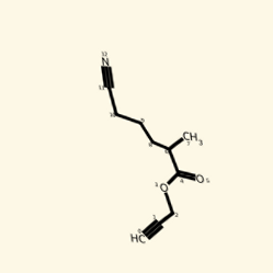 C#CCOC(=O)C(C)CCCC#N